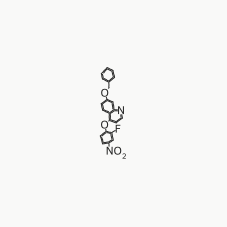 O=[N+]([O-])c1ccc(Oc2ccnc3cc(OCc4ccccc4)ccc23)c(F)c1